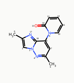 Cc1cn2nc(C)cc(-n3ccccc3=O)c2n1